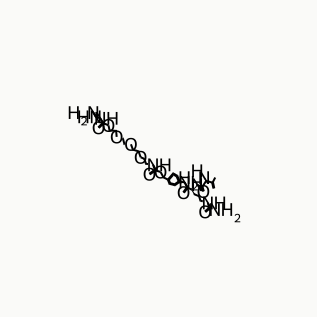 C=C(C)[C@H](N)C(=O)N[C@@H](CCCNC(N)=O)C(=O)Nc1ccc(COC(=O)NCCOCCOCCOCCOC(=O)NNN)cc1